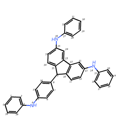 c1ccc(Nc2ccc(C3c4ccc(Nc5ccccc5)cc4-c4cc(Nc5ccccc5)ccc43)cc2)cc1